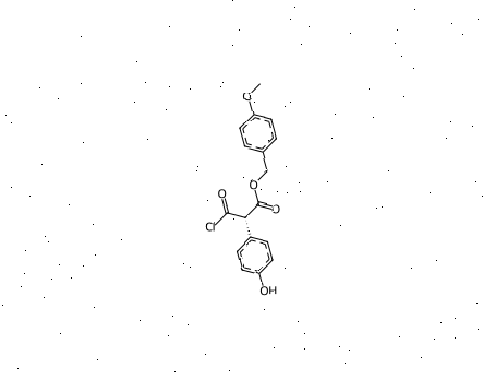 COc1ccc(COC(=O)[C@@H](C(=O)Cl)c2ccc(O)cc2)cc1